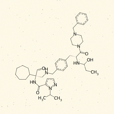 CCC(O)N[C@H](Cc1ccc(CNC[C@](C=O)(NC(=O)c2ccnn2C(C)C)C2CCCCCC2)cc1)C(=O)N1CCN(Cc2ccccc2)CC1